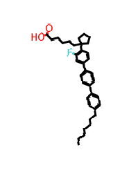 CCCCCCCc1ccc(-c2ccc(-c3ccc(C4(CCCCCC(=O)O)CCCC4)c(F)c3)cc2)cc1